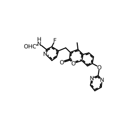 Cc1c(Cc2ccnc(NC=O)c2F)c(=O)oc2cc(Oc3ncccn3)ccc12